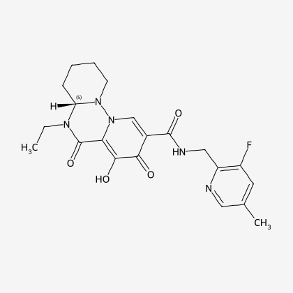 CCN1C(=O)c2c(O)c(=O)c(C(=O)NCc3ncc(C)cc3F)cn2N2CCCC[C@@H]12